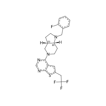 Fc1ccccc1CN1CC[C@H]2CN(c3ncnc4sc(CC(F)(F)F)cc34)CC[C@H]21